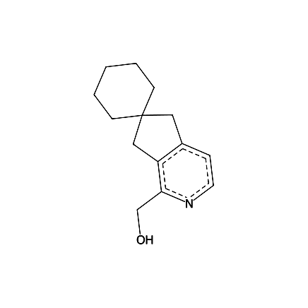 OCc1nccc2c1CC1(CCCCC1)C2